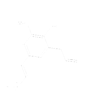 C=CCc1cc(/C=C/C(=O)OCC)cc(OC)c1O